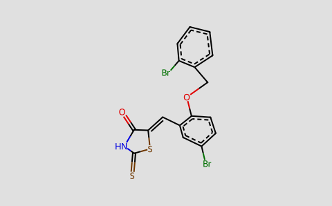 O=C1NC(=S)S/C1=C\c1cc(Br)ccc1OCc1ccccc1Br